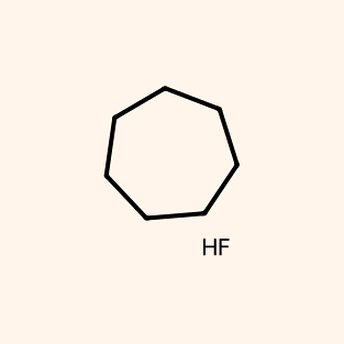 C1CCCCCC1.F